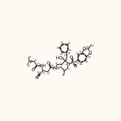 CC(C)CN(C(O)(CCNC(=O)CC(C#N)NC(=O)CN(C)C)Cc1ccccc1)S(=O)(=O)c1ccc2c(c1)OC(C)O2